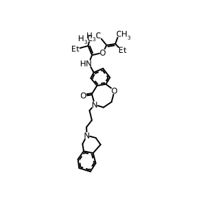 CC/C(C)=C(/C)O/C(Nc1ccc2c(c1)C(=O)N(CCCN1CCc3ccccc3C1)CCO2)=C(\C)CC